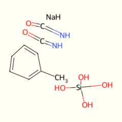 Cc1ccccc1.N=C=O.N=C=O.O[Si](O)(O)O.[NaH]